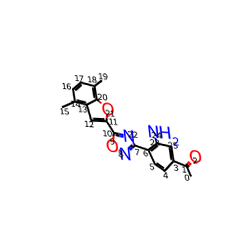 CC(=O)c1ccc(-c2noc(-c3cc4c(C)ccc(C)c4o3)n2)c(N)c1